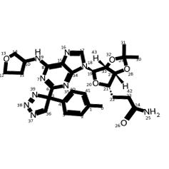 Cc1ccc(C2(c3nc(NC4CCOC4)c4ncn([C@@H]5O[C@@H](CCC(N)=O)[C@H]6OC(C)(C)O[C@H]65)c4n3)C=NN=N2)cc1